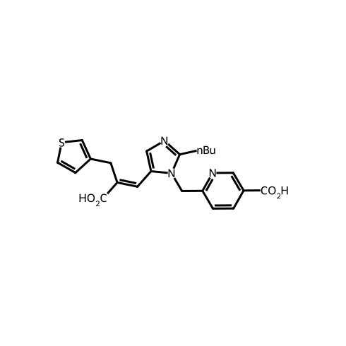 CCCCc1ncc(/C=C(\Cc2ccsc2)C(=O)O)n1Cc1ccc(C(=O)O)cn1